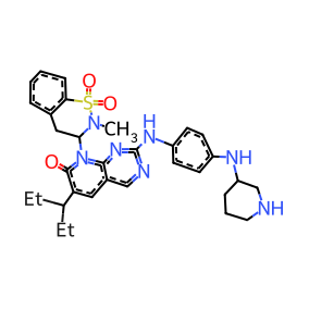 CCC(CC)c1cc2cnc(Nc3ccc(NC4CCCNC4)cc3)nc2n(C2Cc3ccccc3S(=O)(=O)N2C)c1=O